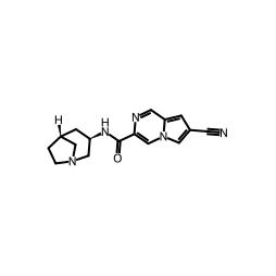 N#Cc1cc2cnc(C(=O)N[C@@H]3C[C@H]4CCN(C4)C3)cn2c1